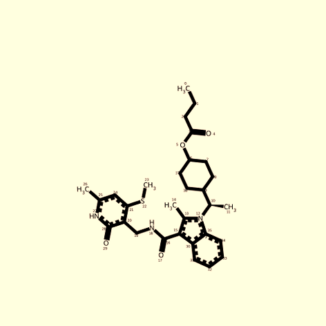 CCCC(=O)OC1CCC([C@@H](C)n2c(C)c(C(=O)NCc3c(SC)cc(C)[nH]c3=O)c3ccccc32)CC1